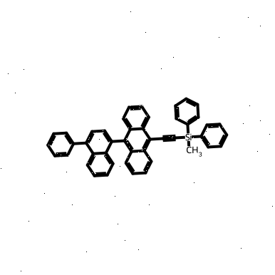 C[Si](C#Cc1c2ccccc2c(-c2ccc(-c3ccccc3)c3ccccc23)c2ccccc12)(c1ccccc1)c1ccccc1